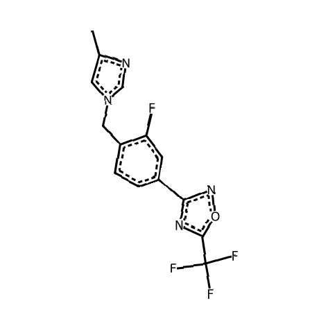 Cc1cn(Cc2ccc(-c3noc(C(F)(F)F)n3)cc2F)cn1